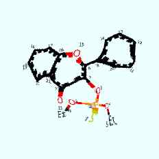 CCOP(=S)(OCC)Oc1c(-c2c[c]ccc2)oc2ccccc2c1=O